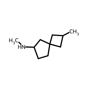 CNC1CCC2(CC(C)C2)C1